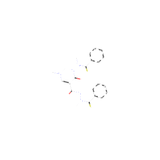 CN(C)C=C(C(=O)NN(C)C(=S)c1ccccc1)C(=O)NN(C)C(=S)c1ccccc1